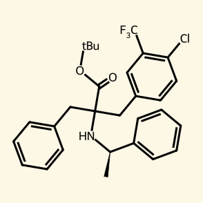 C[C@@H](NC(Cc1ccccc1)(Cc1ccc(Cl)c(C(F)(F)F)c1)C(=O)OC(C)(C)C)c1ccccc1